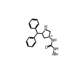 CCCCNC(=O)N[C@@H]1CNC(C(c2ccccc2)c2ccccc2)C1